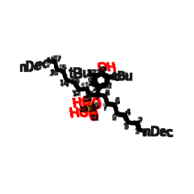 CCCCCCCCCCCCCCCCCCC(CCCCCCCCCCCCCCCCCC)(OP(=O)(O)O)c1cc(C(C)(C)C)c(O)c(C(C)(C)C)c1